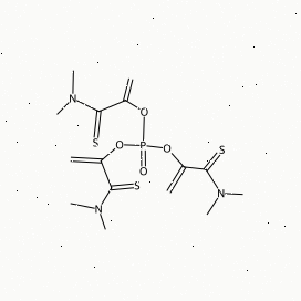 C=C(OP(=O)(OC(=C)C(=S)N(C)C)OC(=C)C(=S)N(C)C)C(=S)N(C)C